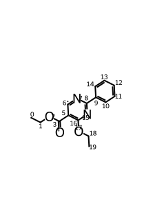 CCOC(=O)c1[c]nc(-c2ccccc2)nc1OCC